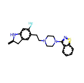 C=C1Cc2cc(CCN3CCN(c4nsc5ccccc45)CC3)c([18F])cc2N1